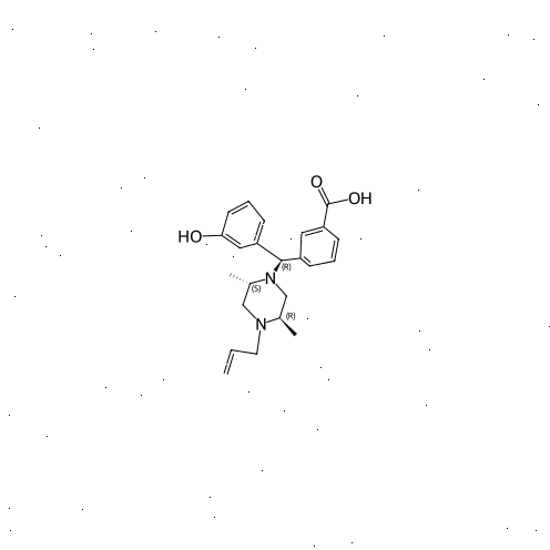 C=CCN1C[C@H](C)N([C@@H](c2cccc(O)c2)c2cccc(C(=O)O)c2)C[C@H]1C